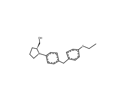 CCSc1ccc(Cc2ccc(N3CCC[C@H]3CO)cc2)cc1